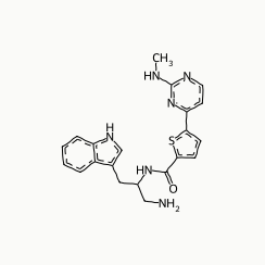 CNc1nccc(-c2ccc(C(=O)NC(CN)Cc3c[nH]c4ccccc34)s2)n1